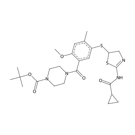 COc1cc(C)c(SC2CN=C(NC(=O)C3CC3)S2)cc1C(=O)N1CCN(C(=O)OC(C)(C)C)CC1